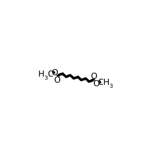 COC(=O)CCCCCCCCC(=O)OC